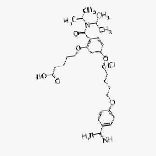 CC(C)N(C(=O)c1ccc(OCCCCCOc2ccc(C(=N)N)cc2)cc1OCCCCC(=O)O)C(C)C.Cl